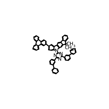 CC1(C)c2ccccc2-c2cc3c4cc(-c5ccc6c7ccccc7c7ccccc7c6c5)ccc4n(-c4nc(-c5cccc(-c6ccccc6)c5)nc(-c5cccc(-c6ccccc6)c5)n4)c3cc21